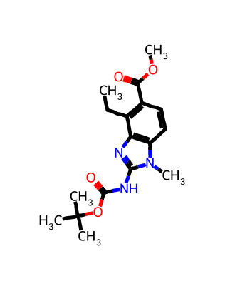 CCc1c(C(=O)OC)ccc2c1nc(NC(=O)OC(C)(C)C)n2C